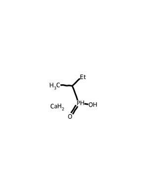 CCC(C)[PH](=O)O.[CaH2]